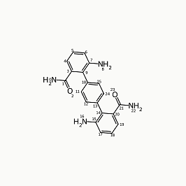 NC(=O)c1cccc(N)c1-c1ccc(-c2c(N)cccc2C(N)=O)cc1